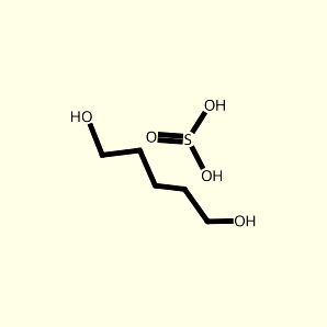 O=S(O)O.OCCCCCO